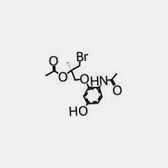 CC(=O)Nc1ccc(O)cc1OC[C@](C)(CBr)OC(C)=O